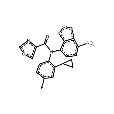 O=C(c1cocn1)N(c1ccc(F)cc1C1CC1)c1ccc([N+](=O)[O-])c2nonc12